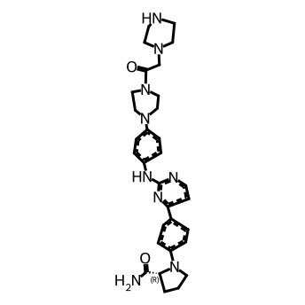 NC(=O)[C@H]1CCCN1c1ccc(-c2ccnc(Nc3ccc(N4CCN(C(=O)CN5CCNCC5)CC4)cc3)n2)cc1